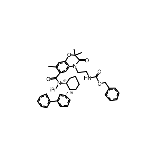 Cc1cc2c(cc1C(=O)N(C(C)C)[C@H]1CCCC[C@@H]1c1cccc(-c3ccccc3)c1)N(CCNC(=O)OCc1ccccc1)C(=O)C(C)(C)O2